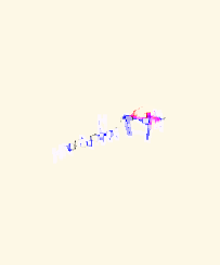 Cc1cc(-c2cc(Nc3ccc(N4CCC5(CCNC5)CC4)cn3)ncn2)ccc1[C@@H](C)NC(=O)c1nc(C(C)(C)C)no1